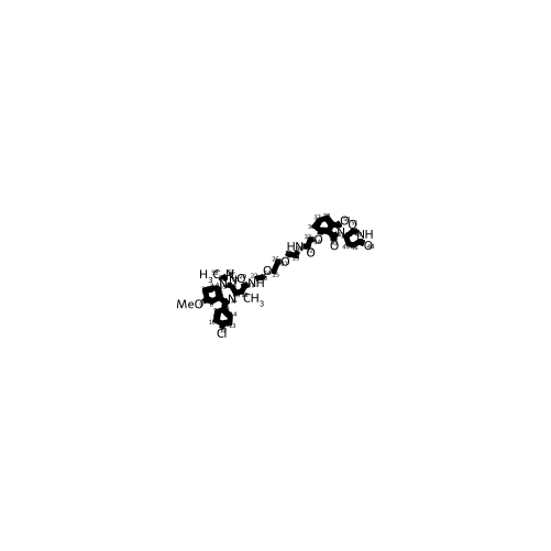 COc1ccc2c(c1)C(c1ccc(Cl)cc1)=N[C@@H]([C@@H](C)C(=O)NCCOCCOCCNC(=O)COc1cccc3c1C(=O)N(C1CCC(=O)NC1=O)C3=O)c1nnc(C)n1-2